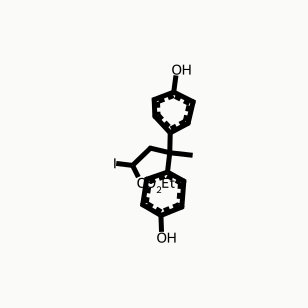 CCOC(=O)C(I)CC(C)(c1ccc(O)cc1)c1ccc(O)cc1